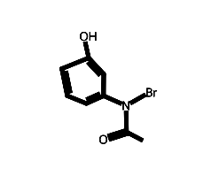 CC(=O)N(Br)c1cccc(O)c1